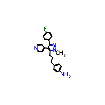 Cn1nc(-c2ccc(F)cc2)c(-c2ccncc2)c1CCCc1ccc(N)cc1